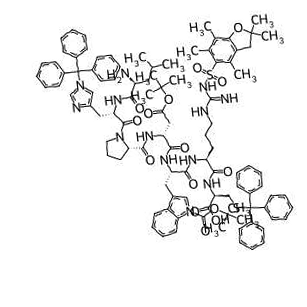 Cc1c(C)c(S(=O)(=O)NC(=N)NCCC[C@H](NC(=O)[C@H](Cc2cn(C(=O)OC(C)(C)C)c3ccccc23)NC(=O)[C@@H](CC(=O)OC(C)(C)C)NC(=O)[C@@H]2CCCN2C(=O)[C@H](Cc2cn(C(c3ccccc3)(c3ccccc3)c3ccccc3)cn2)NC(=O)[C@@H](N)CC(C)C)C(=O)N[C@@H](CSC(c2ccccc2)(c2ccccc2)c2ccccc2)C(=O)O)c(C)c2c1OC(C)(C)C2